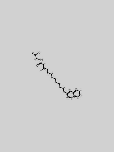 CC(/C=C/CCCCCCCOc1ccc2ccccc2c1)=C\C(=O)NCC(C)C